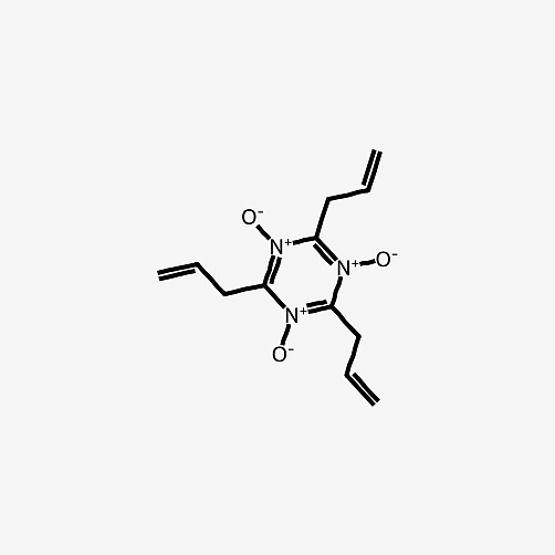 C=CCc1[n+]([O-])c(CC=C)[n+]([O-])c(CC=C)[n+]1[O-]